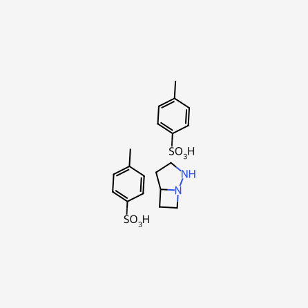 C1CC2CCN2N1.Cc1ccc(S(=O)(=O)O)cc1.Cc1ccc(S(=O)(=O)O)cc1